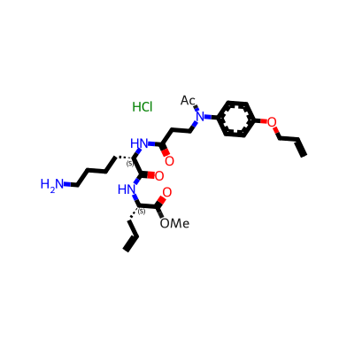 C=CCOc1ccc(N(CCC(=O)N[C@@H](CCCCN)C(=O)N[C@@H](CC=C)C(=O)OC)C(C)=O)cc1.Cl